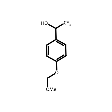 COCOc1ccc(C(O)C(F)(F)F)cc1